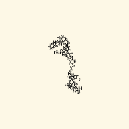 Cc1c(O[C@H]2CC[C@H](CCCCN3CCN(c4ccc5c(C6CCC(=O)NC6=O)nn(C)c5c4)[C@@H](C(F)(F)F)C3)CC2)cccc1-c1ccc(N2CCc3cccc(C(=O)Nc4nc5ccccc5s4)c3C2)nc1C(=O)OC(C)(C)C